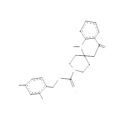 O=C1CC2(CCN(C(=O)NCc3ccc(F)cc3C(F)(F)F)CC2)N(F)c2ccccc21